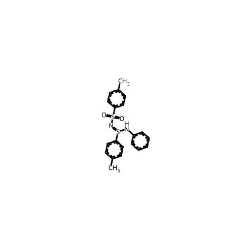 Cc1ccc(S(=NS(=O)(=O)c2ccc(C)cc2)Nc2ccccc2)cc1